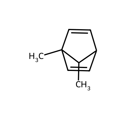 CC1C2C=CC1(C)C=C2